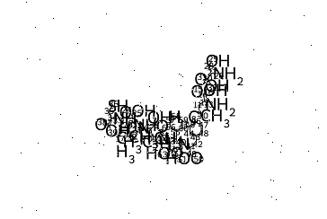 CC(C)C(N)C(=O)O.CC(C)CC(N)C(=O)O.CC(C)CC(N)C(=O)O.NC(CO)C(=O)O.NC(CS)C(=O)O.NC(Cc1ccccc1)C(=O)O.NC(Cc1ccccc1)C(=O)O